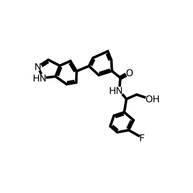 O=C(NC(CO)c1cccc(F)c1)c1cccc(-c2ccc3[nH]ncc3c2)c1